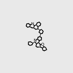 c1ccc(-c2nc3cc(-c4cccc(-c5cc6cc7ccccc7nc6c6ccccc56)c4)ccc3c3c2ccc2c4ccccc4oc23)cc1